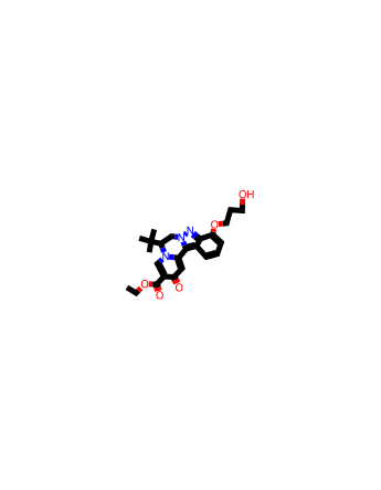 CCOC(=O)c1cn2c(cc1=O)-c1c3cccc(OCCCO)c3nn1CC2C(C)(C)C